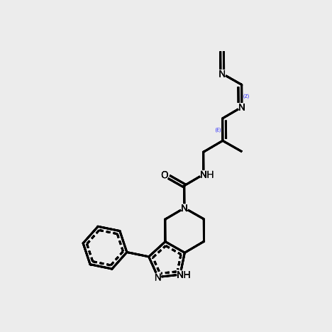 C=N/C=N\C=C(/C)CNC(=O)N1CCc2[nH]nc(-c3ccccc3)c2C1